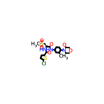 Cc1cc(NC(=O)[C@H](CS(C)(=O)=O)NC(=O)c2ccc(Cl)s2)ccc1N1CCOCC1=O